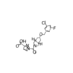 O=C(O)c1ccn(C(=O)N2C[C@H]3CC(OCc4cc(F)cc(Cl)c4)C[C@H]3C2)n1